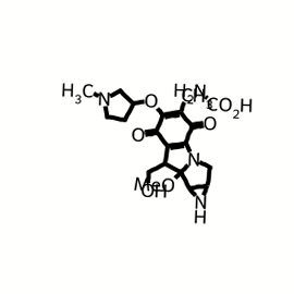 COC12C(CO)C3=C(C(=O)C(C)=C(OC4CCN(C)C4)C3=O)N1CC1NC12.NC(=O)O